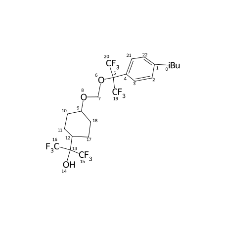 CCC(C)c1ccc(C(OCOC2CCC(C(O)(C(F)(F)F)C(F)(F)F)CC2)(C(F)(F)F)C(F)(F)F)cc1